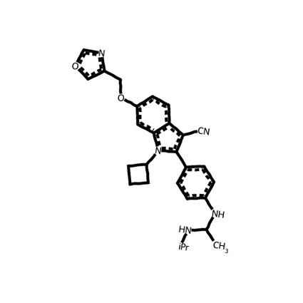 CC(C)NC(C)Nc1ccc(-c2c(C#N)c3ccc(OCc4cocn4)cc3n2C2CCC2)cc1